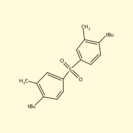 Cc1cc(S(=O)(=O)c2ccc(C(C)(C)C)c(C)c2)ccc1C(C)(C)C